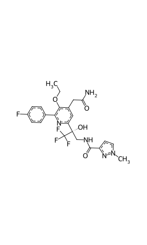 CCOc1c(CC(N)=O)cc([C@@](O)(CNC(=O)c2ccn(C)n2)C(F)(F)F)nc1-c1ccc(F)cc1